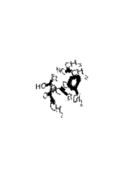 C=C(C#N)CC.C=C(C)C#N.C=CC(=O)OC(O)CC.C=Cc1ccccc1